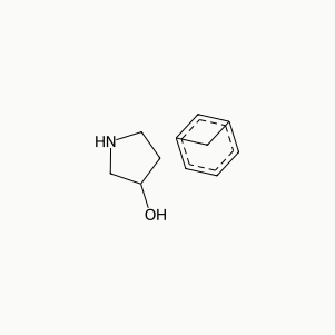 OC1CCNC1.c1cc2cc(c1)C2